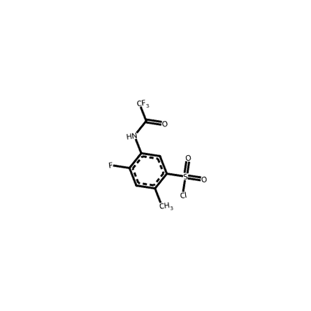 Cc1cc(F)c(NC(=O)C(F)(F)F)cc1S(=O)(=O)Cl